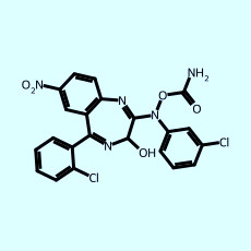 NC(=O)ON(C1=Nc2ccc([N+](=O)[O-])cc2C(c2ccccc2Cl)=NC1O)c1cccc(Cl)c1